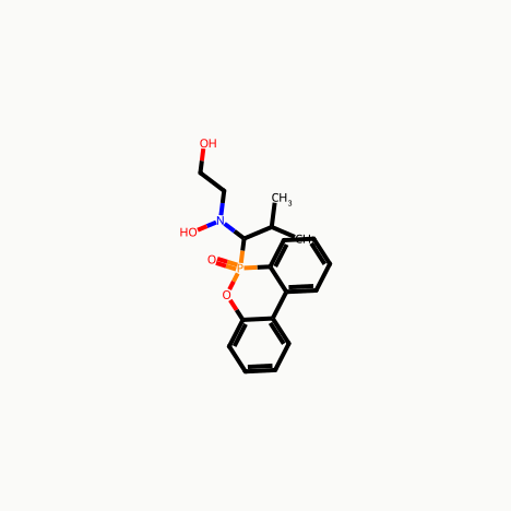 CC(C)C(N(O)CCO)P1(=O)Oc2ccccc2-c2ccccc21